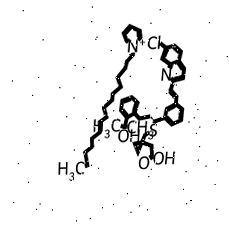 CC(C)(O)c1ccccc1CC[C@@H](SCC1(CC(=O)O)CC1)c1cccc(/C=C/c2ccc3ccc(Cl)cc3n2)c1.CCCCCCCCCCCCCCCC[n+]1ccccc1